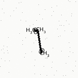 COC(=O)CCCCCCCCCCCCCCCCC(C)C(=O)OC